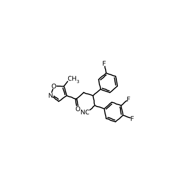 Cc1oncc1C(=O)CC(c1cccc(F)c1)C(C#N)c1ccc(F)c(F)c1